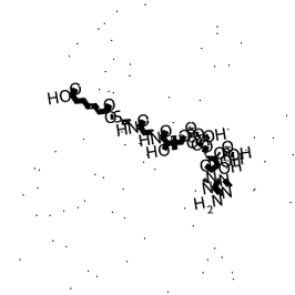 CC(C)(COP(=O)(O)OP(=O)(O)OC[C@H]1O[C@@H](n2cnc3c(N)ncnc32)[C@H](O)[C@@H]1OP(=O)(O)O)C(O)C(=O)NCCC(=O)NCCSOC(=O)CCCCCC(=O)O